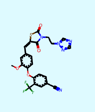 COc1cc(C=C2SC(=O)N(CCn3cncn3)C2=O)ccc1Oc1ccc(C#N)cc1C(F)(F)F